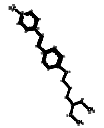 COC(CCCOc1ccc(/C=C/c2cc[n+](C)cc2)cc1)OC